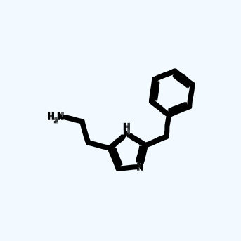 NCCc1cnc(Cc2ccccc2)[nH]1